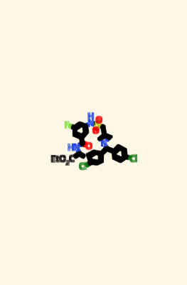 CCOC(=O)C(C)NC(=O)c1cc(F)cc(NS(=O)(=O)CC2CN(C(c3ccc(Cl)cc3)c3ccc(Cl)cc3)C2)c1